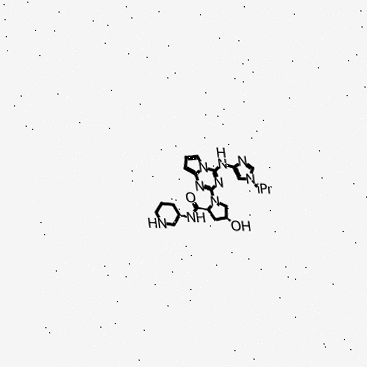 CC(C)n1cnc(Nc2nc(N3C[C@@H](O)C[C@H]3C(=O)N[C@@H]3CCCNC3)nc3cccn23)c1